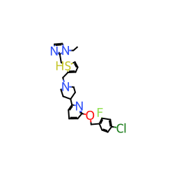 CCn1ccnc1C[SH]1C=CC=C1CN1CCC(c2cccc(OCc3ccc(Cl)cc3F)n2)CC1